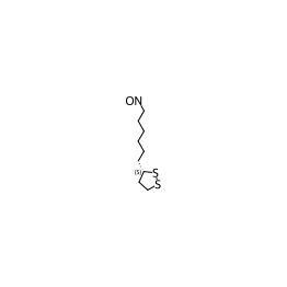 O=NCCCCCC[C@H]1CCSS1